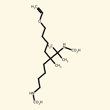 C=COCCCCC(C)(CCCCNC(=O)O)C(C)(C)NC(=O)O